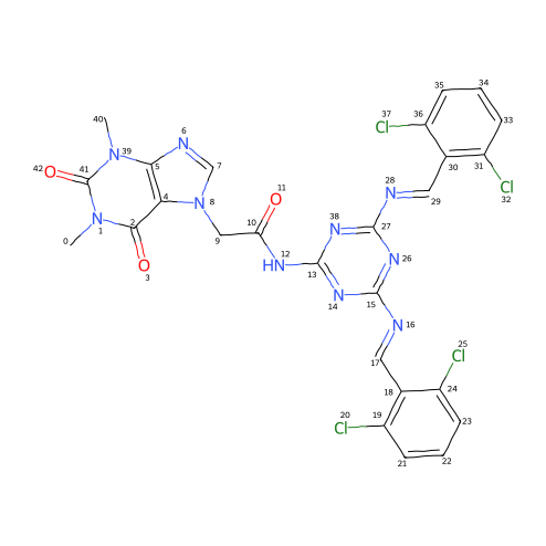 Cn1c(=O)c2c(ncn2CC(=O)Nc2nc(N=Cc3c(Cl)cccc3Cl)nc(N=Cc3c(Cl)cccc3Cl)n2)n(C)c1=O